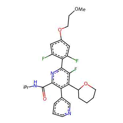 COCCOc1cc(F)c(-c2nc(C(=O)NC(C)C)c(-c3cccnc3)c(C3CCCCO3)c2F)c(F)c1